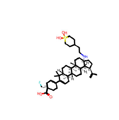 C=C(C)[C@@H]1CC[C@]2(NCCC3CCS(O)(O)CC3)CC[C@]3(C)[C@H](CC[C@@H]4[C@@]5(C)CC=C(C6=CC[C@](CF)(C(=O)O)CC6)C(C)(C)[C@@H]5CC[C@]43C)[C@@H]12